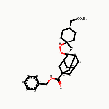 CCOC(=O)C[C@H]1CC[C@@]2(CC1)C[C@@]1(OO2)C2CC3CC1CC(C(=O)OCc1ccccc1)(C3)C2